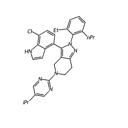 CCCc1cccc(CC)c1-n1nc2c(c1-c1ccc(Cl)c3[nH]ccc13)CN(c1ncc(C(C)C)cn1)CC2